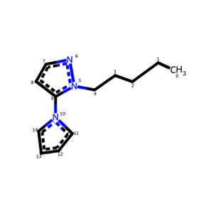 CCCCCn1nccc1-n1cccc1